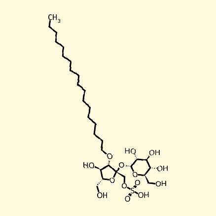 CCCCCCCCCCCCCCCCCCO[C@H]1[C@H](O)[C@@H](CO)O[C@@]1(COS(=O)(=O)O)O[C@H]1O[C@H](CO)[C@@H](O)[C@H](O)[C@H]1O